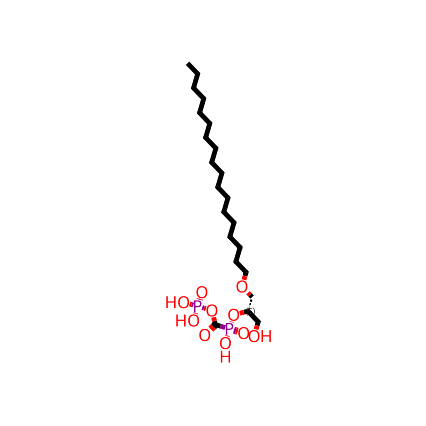 CCCCCCCCCCCCCCCCCCOC[C@H](CO)OP(=O)(O)C(=O)OP(=O)(O)O